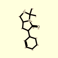 CC1(C)OCC2CC(C3C=CCCC3)C(=O)N21